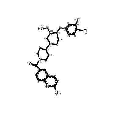 O=C(c1ccc2nc(C(F)(F)F)ccc2c1)N1CCC(N2CCC(Cc3ccc(Cl)c(Cl)c3)[C@H](CO)C2)CC1